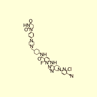 N#Cc1ccc(N2CCc3c(ncnc3Nc3ccc(C(=O)NC4CCC(CN5CCN(c6ccc(N7CCC(=O)NC7=O)cc6)CC5)CC4)c(F)n3)C2)nc1Cl